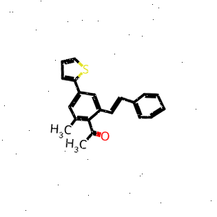 CC(=O)c1c(C)cc(-c2cccs2)cc1/C=C/c1ccccc1